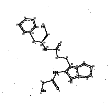 CC(C)(C)OC(=O)Nc1[nH]c2ccccc2c1CCC(=O)N[C@H](CS)Cc1ccccc1